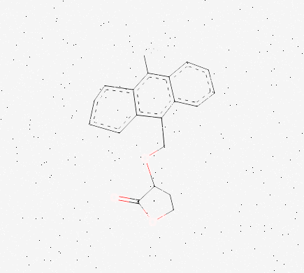 COc1c2ccccc2c(COC2CCOC2=O)c2ccccc12